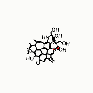 COc1c(O)c2c(=O)cc(OC)c3c4c(OC)cc(=O)c5c(NC(CO)C(=O)O)c(NC(CO)C(=O)O)c6c(c(c1C(C(C)=O)C(C)=C6)c23)c54